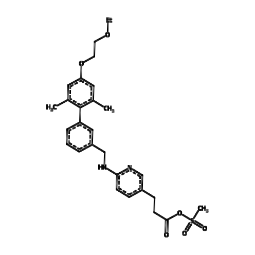 CCOCCOc1cc(C)c(-c2cccc(CNc3ccc(CCC(=O)OS(C)(=O)=O)cn3)c2)c(C)c1